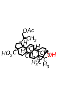 C=C(COC(C)=O)[C@@H]1CC[C@]2(C(=O)O)CC[C@]3(C)[C@H](CC[C@@H]4[C@@]5(C)CC[C@H](O)C(C)(C)[C@@H]5CC[C@]43C)[C@@H]12